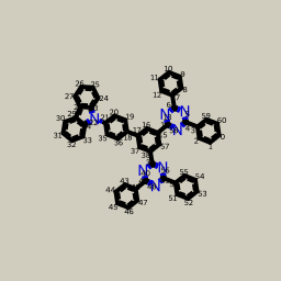 c1ccc(-c2nc(-c3ccccc3)nc(-c3cc(-c4ccc(-n5c6ccccc6c6ccccc65)cc4)cc(-c4nc(-c5ccccc5)nc(-c5ccccc5)n4)c3)n2)cc1